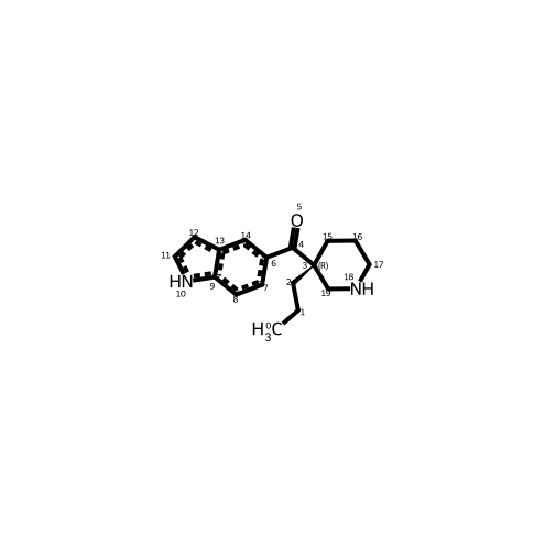 CCC[C@@]1(C(=O)c2ccc3[nH]ccc3c2)CCCNC1